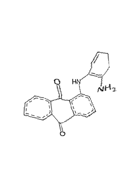 NC1=C(Nc2cccc3c2C(=O)c2ccccc2C3=O)C=CCC1